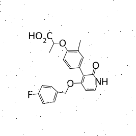 Cc1cc(-c2c(OCc3ccc(F)cc3)cc[nH]c2=O)ccc1OC(C)C(=O)O